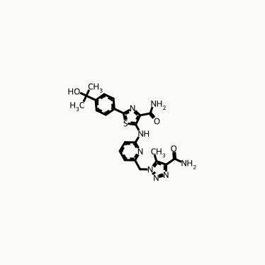 Cc1c(C(N)=O)nnn1Cc1cccc(Nc2sc(-c3ccc(C(C)(C)O)cc3)nc2C(N)=O)n1